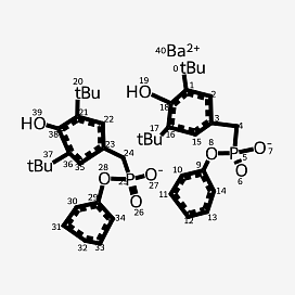 CC(C)(C)c1cc(CP(=O)([O-])Oc2ccccc2)cc(C(C)(C)C)c1O.CC(C)(C)c1cc(CP(=O)([O-])Oc2ccccc2)cc(C(C)(C)C)c1O.[Ba+2]